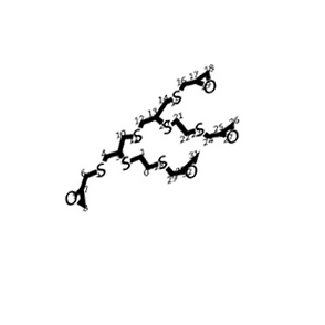 C(CSC(CSCC1CO1)CSCC(CSCC1CO1)SCCSCC1CO1)SCC1CO1